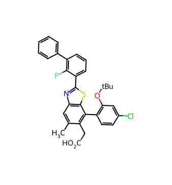 Cc1cc2nc(-c3cccc(-c4ccccc4)c3F)sc2c(-c2ccc(Cl)cc2OC(C)(C)C)c1CC(=O)O